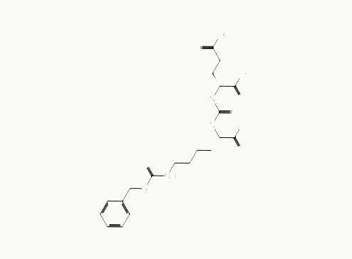 O=C(O)CC[C@H](NC(=O)N[C@@H](CCCCNC(=O)NCc1ccccc1)C(=O)O)C(=O)O